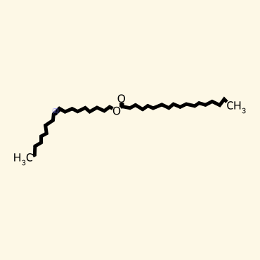 CCCCCCCC/C=C\CCCCCCCCOC(=O)CCCCCCCCCCCCCCCCC